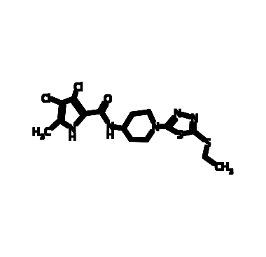 CCSc1nnc(N2CCC(NC(=O)c3[nH]c(C)c(Cl)c3Cl)CC2)s1